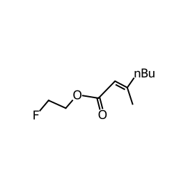 CCCC/C(C)=C/C(=O)OCCF